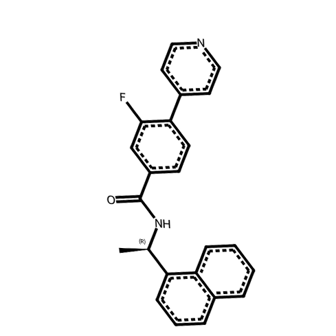 C[C@@H](NC(=O)c1ccc(-c2ccncc2)c(F)c1)c1cccc2ccccc12